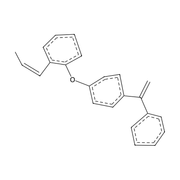 C=C(c1ccccc1)c1ccc(Oc2ccccc2/C=C\C)cc1